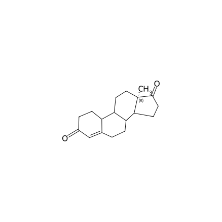 C[C@@]12CCC3C4CCC(=O)C=C4CCC3C1CCC2=O